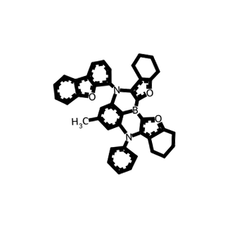 Cc1cc2c3c(c1)N(c1cccc4c1oc1ccccc14)c1c(oc4c1CCCC4)B3c1oc3c(c1N2c1ccccc1)CCCC3